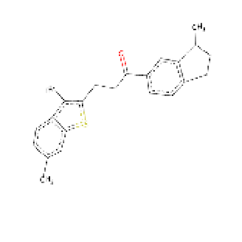 Cc1ccc2c(C(C)C)c(CCC(=O)c3ccc4c(c3)C(C)CC4)sc2c1